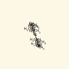 COC(=O)N[C@H](C(=O)N1C[C@@H](C)C[C@H]1c1nc(C)c(C#Cc2cc3sc(-c4[nH]c([C@@H]5C[C@H](C)CN5C(=O)[C@@H](NC(=O)OC)C(C)C)nc4C)cc3s2)[nH]1)C(C)C